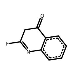 O=C1CC(F)=Nc2ccccc21